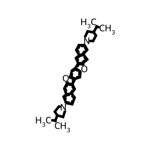 CC(C)C1CCN(c2ccc3cc4c(cc3c2)oc2cc3c(cc24)oc2cc4cc(N5CCC(C(C)C)CC5)ccc4cc23)CC1